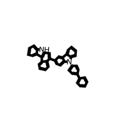 c1ccc(-c2ccc(-n3c4ccccc4c4cc(-c5cc6[nH]c7ccccc7c6c6ccccc56)ccc43)cc2)cc1